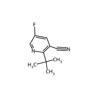 CC(C)(C)c1ncc(F)cc1C#N